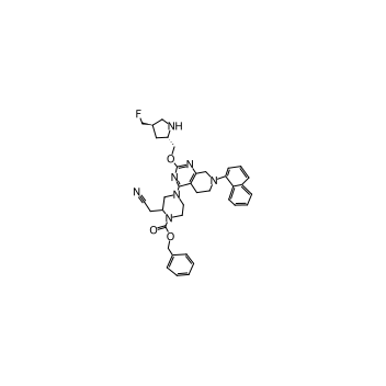 N#CCC1CN(c2nc(OC[C@@H]3C[C@@H](CF)CN3)nc3c2CCN(c2cccc4ccccc24)C3)CCN1C(=O)OCc1ccccc1